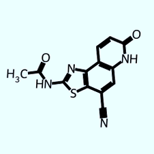 CC(=O)Nc1nc2c(s1)c(C#N)cc1[nH]c(=O)ccc12